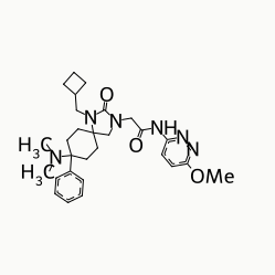 COc1ccc(NC(=O)CN2CC3(CCC(c4ccccc4)(N(C)C)CC3)N(CC3CCC3)C2=O)nn1